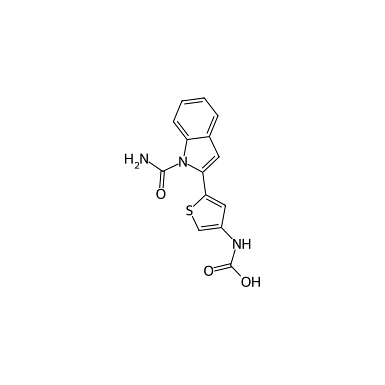 NC(=O)n1c(-c2cc(NC(=O)O)cs2)cc2ccccc21